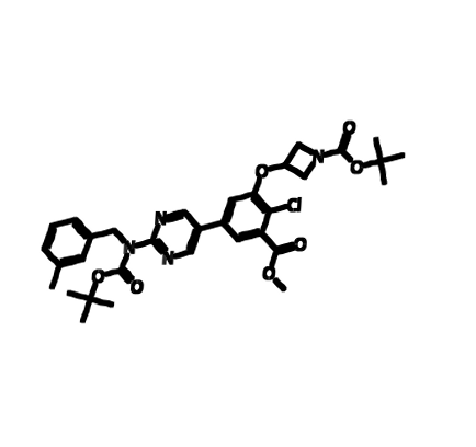 COC(=O)c1cc(-c2cnc(N(Cc3cccc(C)c3)C(=O)OC(C)(C)C)nc2)cc(OC2CN(C(=O)OC(C)(C)C)C2)c1Cl